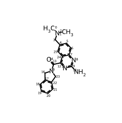 CN(C)Cc1ccc2nc(N)nc(C(=O)N3Cc4ccccc4C3)c2c1